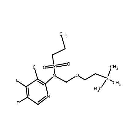 CCCS(=O)(=O)N(COCC[Si](C)(C)C)c1ncc(F)c(I)c1Cl